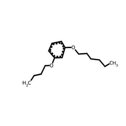 [CH2]CCCOc1cccc(OCCCCCC)c1